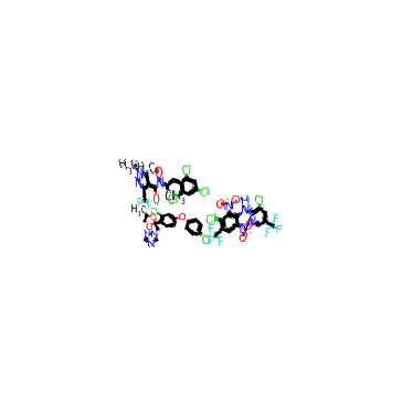 CC1COC(Cn2cncn2)(c2ccc(Oc3ccc(Cl)cc3)cc2Cl)O1.CON(C(=O)c1cn(C)nc1C(F)F)C(C)Cc1c(Cl)cc(Cl)cc1Cl.O=[N+]([O-])c1cc(C(F)(F)F)c(Cl)c([N+](=O)[O-])c1Nc1ncc(C(F)(F)F)cc1Cl